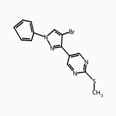 CSc1ncc(-c2nn(-c3ccccc3)cc2Br)cn1